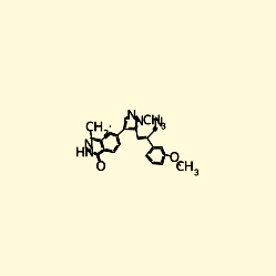 [CH2]c1n[nH]c(=O)c2ccc(-c3cnn(C)c3C=C(C#N)c3cccc(OC)c3)cc12